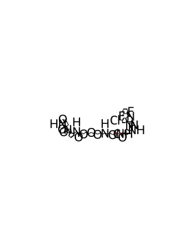 O=C1CCC(N2Cc3c(NC(=O)COCCOCCOCCNCCOCCNC(=O)c4ccc(Nc5ncc6c(n5)-c5ccc(Cl)cc5C(c5c(F)cccc5F)=NC6)cc4)cccc3C2=O)C(=O)N1